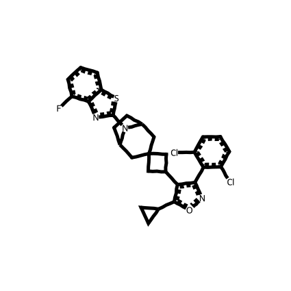 Fc1cccc2sc(N3C4CCC3CC3(CC(c5c(-c6c(Cl)cccc6Cl)noc5C5CC5)C3)C4)nc12